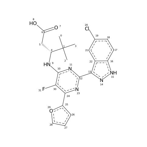 CC(C)(C)[C@@H](CC(=O)O)Nc1nc(-c2n[nH]c3ccc(Cl)cc23)nc(-c2ccco2)c1F